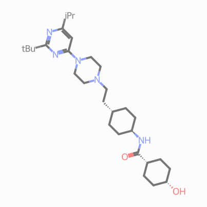 CC(C)c1cc(N2CCN(CC[C@H]3CC[C@H](NC(=O)[C@H]4CC[C@@H](O)CC4)CC3)CC2)nc(C(C)(C)C)n1